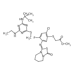 CCNc1nc(NC(C)(C)C)nc(SC)n1.COC(=O)CSc1cc(/N=c2\sc(=O)n3n2CCCC3)c(F)cc1Cl